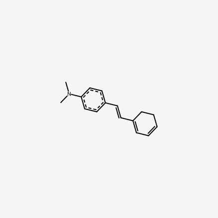 CN(C)c1ccc(/C=C/C2=CC=CCC2)cc1